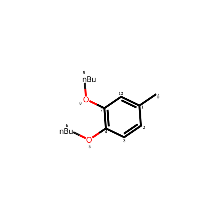 [CH2]c1ccc(OCCCC)c(OCCCC)c1